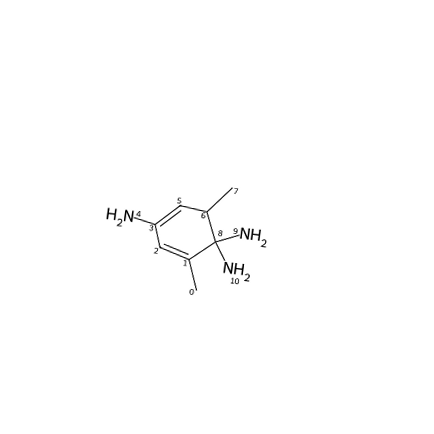 CC1=CC(N)=CC(C)C1(N)N